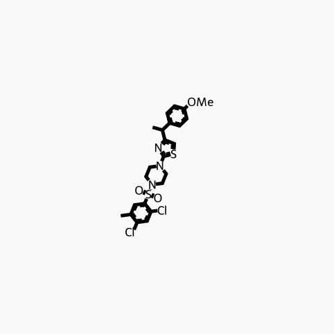 COc1ccc(C(C)c2csc(N3CCN(S(=O)(=O)c4cc(C)c(Cl)cc4Cl)CC3)n2)cc1